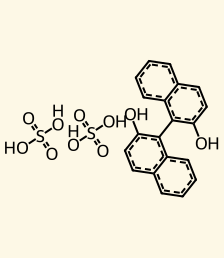 O=S(=O)(O)O.O=S(=O)(O)O.Oc1ccc2ccccc2c1-c1c(O)ccc2ccccc12